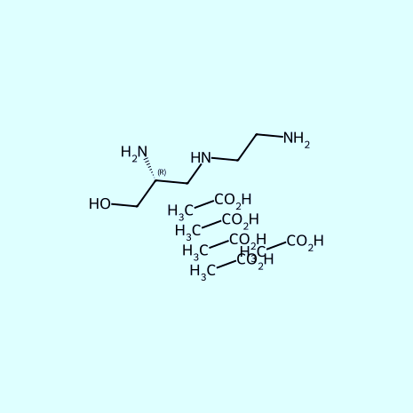 CC(=O)O.CC(=O)O.CC(=O)O.CC(=O)O.CC(=O)O.NCCNC[C@@H](N)CO